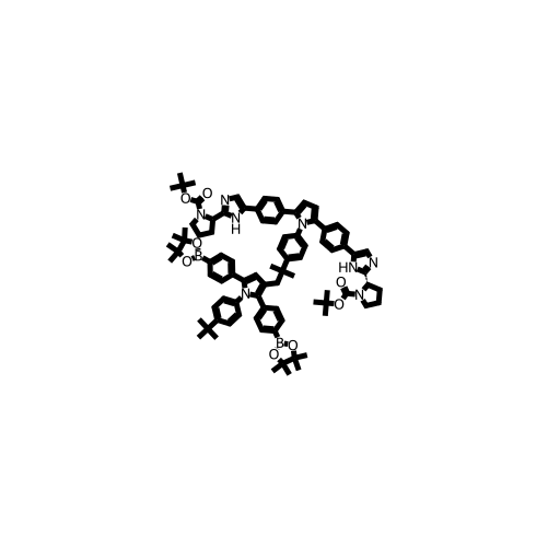 CC(C)(C)OC(=O)N1CCCC1c1ncc(-c2ccc(-c3ccc(-c4ccc(-c5cnc([C@@H]6CCCN6C(=O)OC(C)(C)C)[nH]5)cc4)n3-c3ccc(C(C)(C)Cc4cc(-c5ccc(B6OC(C)(C)C(C)(C)O6)cc5)n(-c5ccc(C(C)(C)C)cc5)c4-c4ccc(B5OC(C)(C)C(C)(C)O5)cc4)cc3)cc2)[nH]1